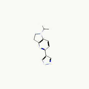 CC(C)N1CCc2nc(-c3cn[nH]c3)ccc21